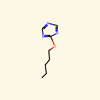 CCCCCOc1ncncn1